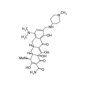 CN[C@@H]1C(O)=C(C(N)=O)C(=O)[C@@]2(O)C(O)=C3C(=O)c4c(O)c(CNC5CCN(C)CC5)cc(N(C)C)c4C[C@H]3C[C@@H]12